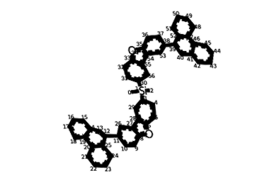 C[Si](C)(c1ccc2oc3ccc(-c4cc5ccccc5c5ccccc45)cc3c2c1)c1ccc2oc3ccc(-c4cc5ccccc5c5ccccc45)cc3c2c1